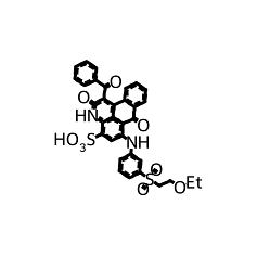 CCOCCS(=O)(=O)c1cccc(Nc2cc(S(=O)(=O)O)c3[nH]c(=O)c(C(=O)c4ccccc4)c4c3c2C(=O)c2ccccc2-4)c1